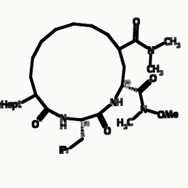 CCCCCCCC1CCCCCCCC(C(=O)N(C)C)C[C@H](C(=O)N(C)OC)NC(=O)[C@H](CC(C)C)NC1=O